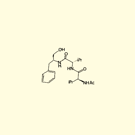 CC(=O)N[C@H](C(=O)N[C@H](C(=O)N[C@H](CO)Cc1ccccc1)C(C)C)C(C)C